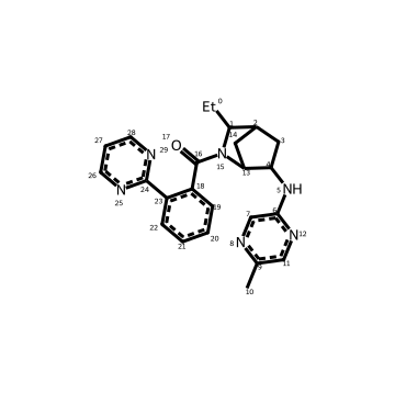 CCC1C2CC(Nc3cnc(C)cn3)C(C2)N1C(=O)c1ccccc1-c1ncccn1